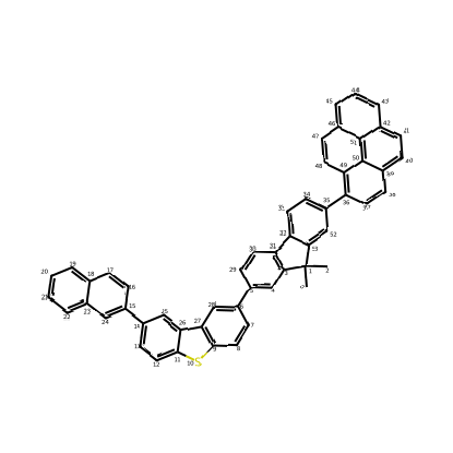 CC1(C)c2cc(-c3ccc4sc5ccc(-c6ccc7ccccc7c6)cc5c4c3)ccc2-c2ccc(-c3ccc4ccc5cccc6ccc3c4c56)cc21